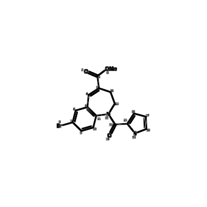 COC(=O)C1=Cc2cc(Br)ccc2N(C(=O)c2cccs2)CC1